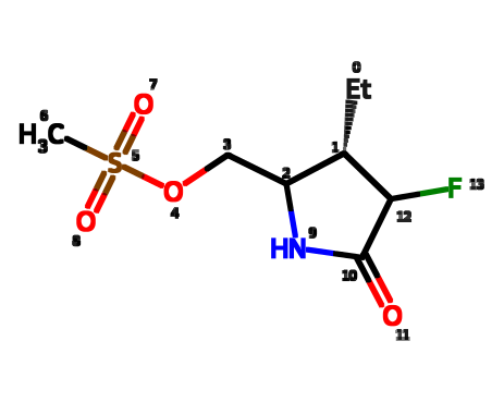 CC[C@H]1C(COS(C)(=O)=O)NC(=O)C1F